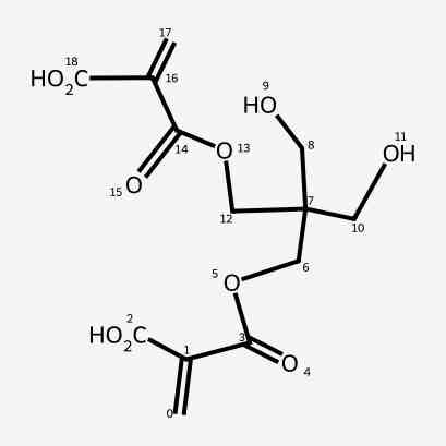 C=C(C(=O)O)C(=O)OCC(CO)(CO)COC(=O)C(=C)C(=O)O